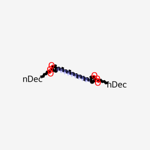 CCCCCCCCCCCCCCCC(=O)OC1=CC(C)(C)C(/C=C/C(C)=C/C=C/C(C)=C/C=C/C=C(C)/C=C/C=C(C)/C=C/C2=C(C)C(=O)C(OC(=O)CCCCCCCCCCCCCCC)=CC2(C)C)=C(C)C1=O